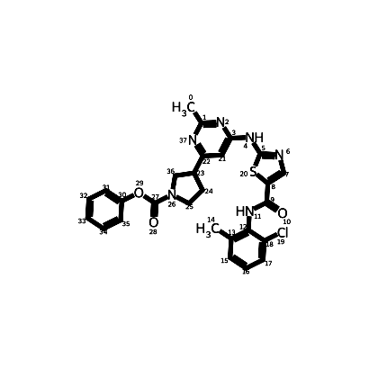 Cc1nc(Nc2ncc(C(=O)Nc3c(C)cccc3Cl)s2)cc(C2CCN(C(=O)Oc3ccccc3)C2)n1